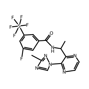 Cc1ncn(-c2nccnc2C(C)NC(=O)c2cc(F)cc(S(F)(F)(F)(F)F)c2)n1